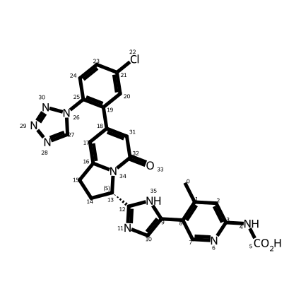 Cc1cc(NC(=O)O)ncc1-c1cnc([C@@H]2CCc3cc(-c4cc(Cl)ccc4-n4cnnn4)cc(=O)n32)[nH]1